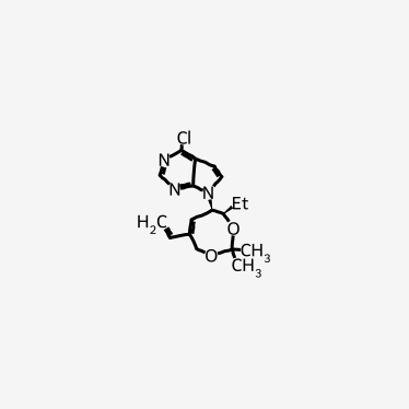 C=C/C1=C/[C@@H](n2ccc3c(Cl)ncnc32)[C@@H](CC)OC(C)(C)OC1